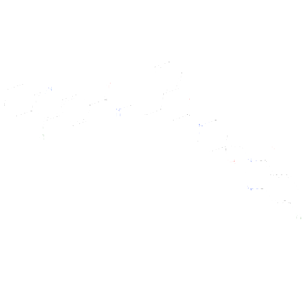 O=C(NCCC(CC(=O)N1CCC(O)(Cn2cnc3cc(Cl)ccc3c2=O)CC1)c1ccccc1)c1ccc2c(Cl)c3c(nc2c1)CCCC3